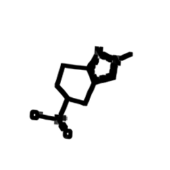 Cn1cc2c(n1)CCC([N+](=O)[O-])C2